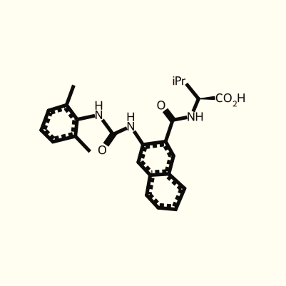 Cc1cccc(C)c1NC(=O)Nc1cc2ccccc2cc1C(=O)N[C@H](C(=O)O)C(C)C